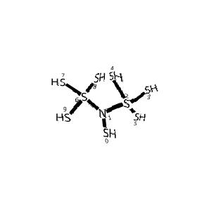 SN(S(S)(S)S)S(S)(S)S